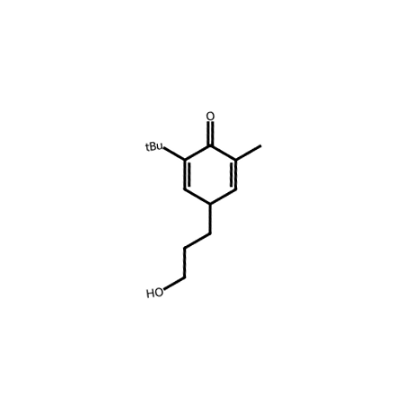 CC1=CC(CCCO)C=C(C(C)(C)C)C1=O